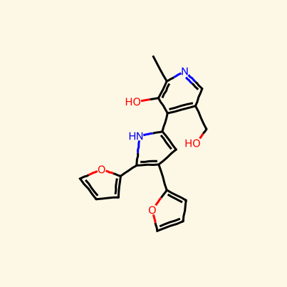 Cc1ncc(CO)c(-c2cc(-c3ccco3)c(-c3ccco3)[nH]2)c1O